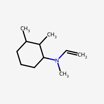 C=CN(C)C1CCCC(C)C1C